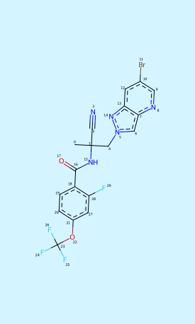 CC(C#N)(Cn1cc2ncc(Br)cc2n1)NC(=O)c1ccc(OC(F)(F)F)cc1F